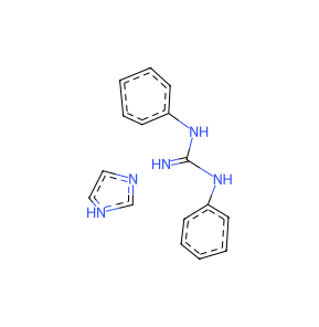 N=C(Nc1ccccc1)Nc1ccccc1.c1c[nH]cn1